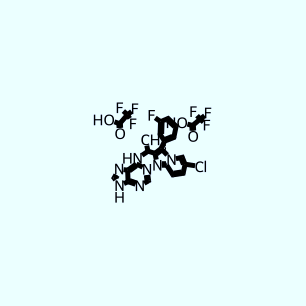 CC(Nc1ncnc2[nH]cnc12)c1nc2ccc(Cl)cn2c1-c1cccc(F)c1.O=C(O)C(F)(F)F.O=C(O)C(F)(F)F